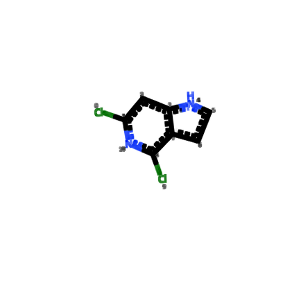 Clc1cc2[nH]ccc2c(Cl)n1